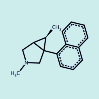 C[C@@H]1C2CN(C)CC21c1cccc2ccccc12